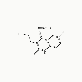 CCCn1c(=S)[nH]c2ccc(I)cc2c1=O.S=C=S